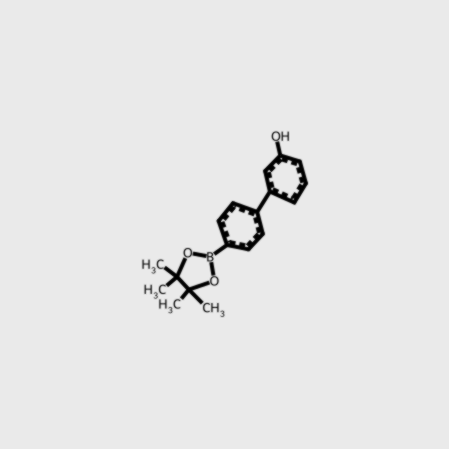 CC1(C)OB(c2ccc(-c3cccc(O)c3)cc2)OC1(C)C